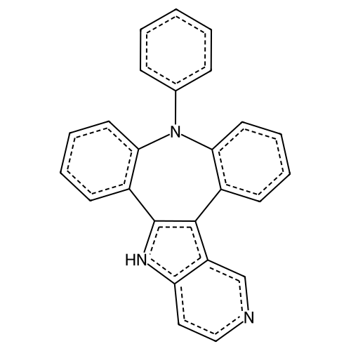 c1ccc(N2c3ccccc3-c3[nH]c4ccncc4c3-c3ccccc32)cc1